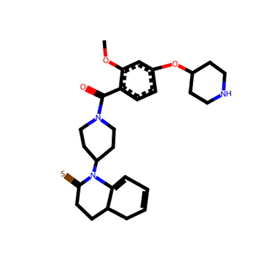 COc1cc(OC2CCNCC2)ccc1C(=O)N1CCC(N2C(=S)CCC3CC=CC=C32)CC1